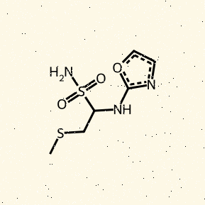 CSCC(Nc1ncco1)S(N)(=O)=O